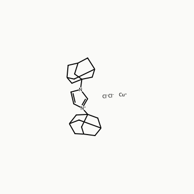 [Cl-].[Cl-].[Cu+].c1c[n+](C23CC4CC(CC(C4)C2)C3)cn1C12CC3CC(CC(C3)C1)C2